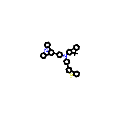 CC1(C)c2ccccc2-c2ccc(N(c3ccc(-c4ccc5sc6ccccc6c5c4)cc3)c3ccc(-c4cc5c6ccccc6n6c7ccccc7c(c4)c56)cc3)cc21